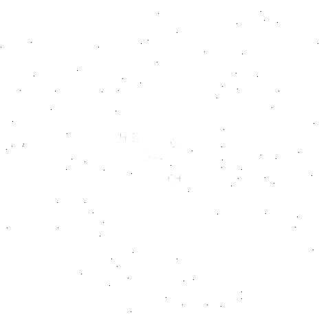 CC(=O)S[SiH3]